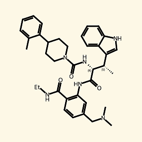 CCNC(=O)c1ccc(CN(C)C)cc1NC(=O)[C@H](NC(=O)N1CCC(c2ccccc2C)CC1)[C@@H](C)c1c[nH]c2ccccc12